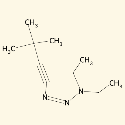 CCN(CC)/N=N\C#CC(C)(C)C